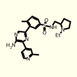 CCN1CCCC1CNS(=O)(=O)c1ccc(C)c(-c2cnc(N)c(-c3ccnc(C)c3)n2)c1